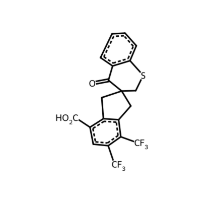 O=C(O)c1cc(C(F)(F)F)c(C(F)(F)F)c2c1CC1(CSc3ccccc3C1=O)C2